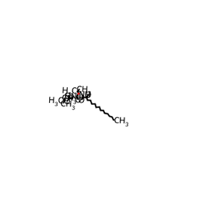 CCCCCCCCCCCCCCC(=O)C(=O)N[C@H](C(=O)NCC(=O)OC(C)(C)C)C(C)C